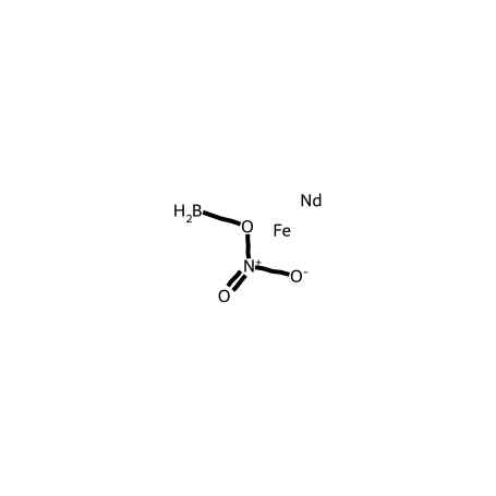 BO[N+](=O)[O-].[Fe].[Nd]